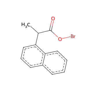 CC(C(=O)OBr)c1cccc2ccccc12